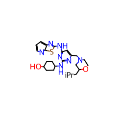 CC(C)CC1CN(Cc2cc(Nc3nc4cccnc4s3)nc(NC3CCC(O)CC3)n2)CCO1